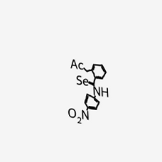 CC(=O)Cc1ccccc1C(=[Se])Nc1ccc([N+](=O)[O-])cc1